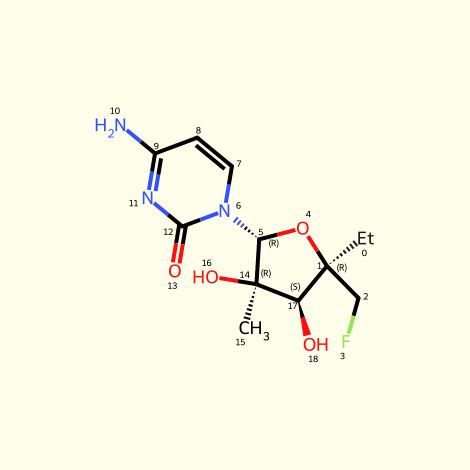 CC[C@@]1(CF)O[C@@H](n2ccc(N)nc2=O)[C@](C)(O)[C@@H]1O